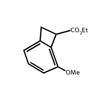 CCOC(=O)C1Cc2cccc(OC)c21